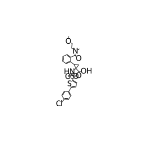 COCCN(C)C(=O)c1ccccc1C1CC1(NS(=O)(=O)c1ccc(-c2ccc(Cl)cc2)s1)C(=O)O